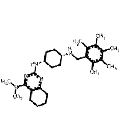 Cc1c(C)c(C)c(CN[C@H]2CC[C@@H](Nc3nc4c(c(N(C)C)n3)CCCC4)CC2)c(C)c1C